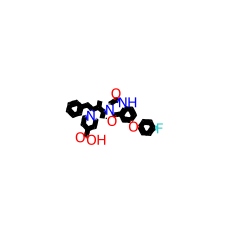 [CH2]C(C(C)C(Cc1ccccc1)N1CCC(C(=O)O)CC1)N1CC(=O)Nc2ccc(Oc3ccc(F)cc3)cc2C1=O